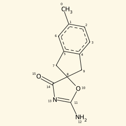 Cc1ccc2c(c1)CC1(C2)OC(N)=NC1=O